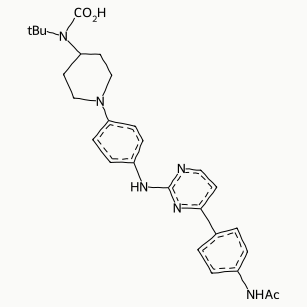 CC(=O)Nc1ccc(-c2ccnc(Nc3ccc(N4CCC(N(C(=O)O)C(C)(C)C)CC4)cc3)n2)cc1